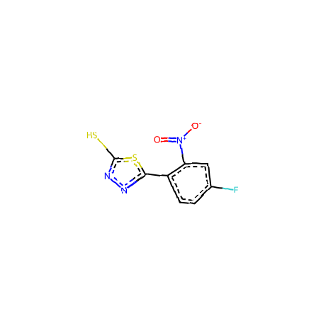 O=[N+]([O-])c1cc(F)ccc1-c1nnc(S)s1